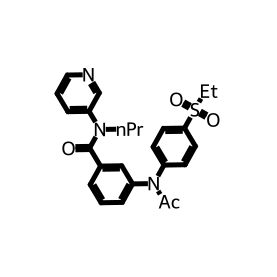 CCCN(C(=O)c1cccc(N(C(C)=O)c2ccc(S(=O)(=O)CC)cc2)c1)c1cccnc1